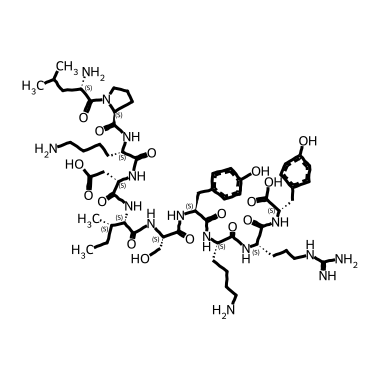 CC[C@H](C)[C@H](NC(=O)[C@H](CC(=O)O)NC(=O)[C@H](CCCCN)NC(=O)[C@@H]1CCCN1C(=O)[C@@H](N)CC(C)C)C(=O)N[C@@H](CO)C(=O)N[C@@H](Cc1ccc(O)cc1)C(=O)N[C@@H](CCCCN)C(=O)N[C@@H](CCCNC(=N)N)C(=O)N[C@@H](Cc1ccc(O)cc1)C(=O)O